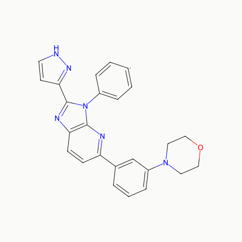 [c]1ccc(-n2c(-c3cc[nH]n3)nc3ccc(-c4cccc(N5CCOCC5)c4)nc32)cc1